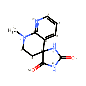 CN1CCC2(NC(=O)NC2=O)c2cccnc21